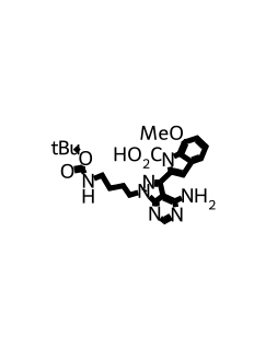 COc1cccc2cc(-c3nn(CCCCNC(=O)OC(C)(C)C)c4ncnc(N)c34)n(C(=O)O)c12